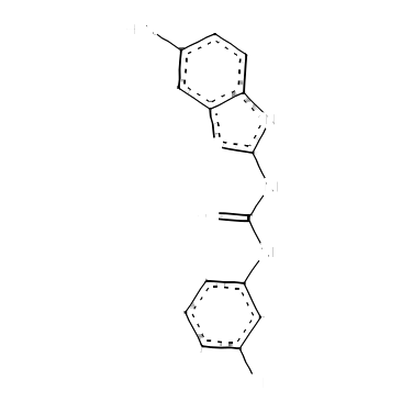 Nc1ccc2nc(NC(=O)Nc3cccc(Cl)c3)sc2c1